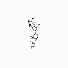 CC=C[C@@H]1CC[C@@H]2CC(c3cc(F)c(OC(F)(F)F)c(F)c3)CC[C@@H]2C1